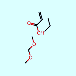 C=CC(=O)O.CCC.COCOC